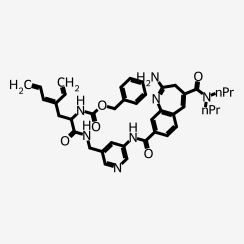 C=C/C=C(\C=C)CC(NC(=O)OCc1ccccc1)C(=O)NCc1cncc(NC(=O)c2ccc3c(c2)N=C(N)CC(C(=O)N(CCC)CCC)=C3)c1